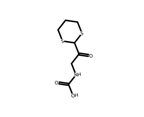 O=C(O)NCC(=O)C1SCCCS1